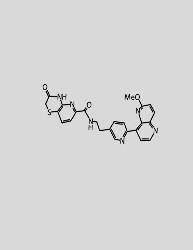 COc1ccc2nccc(-c3ccc(CCNC(=O)c4ccc5c(n4)NC(=O)CS5)cn3)c2n1